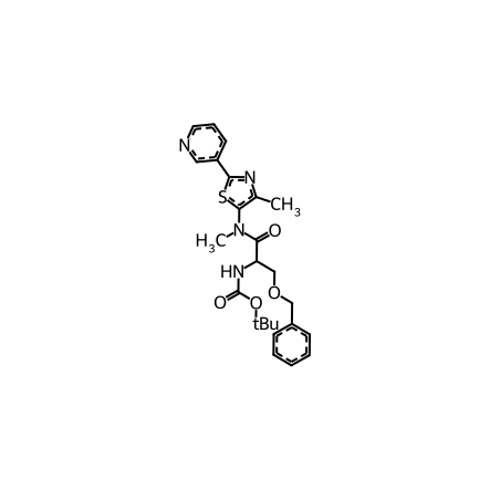 Cc1nc(-c2cccnc2)sc1N(C)C(=O)C(COCc1ccccc1)NC(=O)OC(C)(C)C